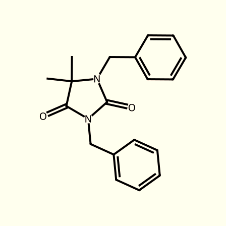 CC1(C)C(=O)N(Cc2ccccc2)C(=O)N1Cc1ccccc1